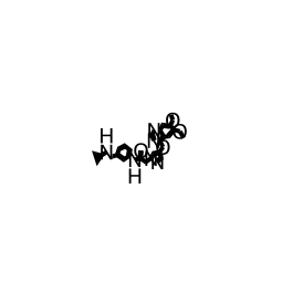 COc1cc2ncnc(Oc3cnn(CC(=O)Nc4cccc(CNC5CC5)c4)c3)c2cc1OC